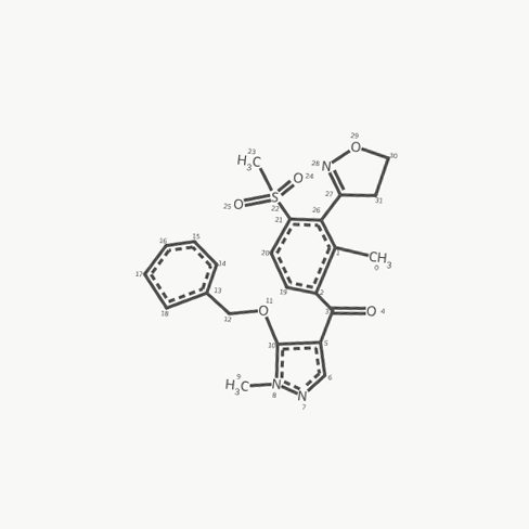 Cc1c(C(=O)c2cnn(C)c2OCc2ccccc2)ccc(S(C)(=O)=O)c1C1=NOCC1